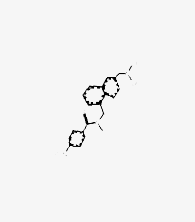 CCN(CC)Cc1ccc2c(CN(C)C(=O)c3ccc([N+](=O)[O-])cc3)cccc2c1